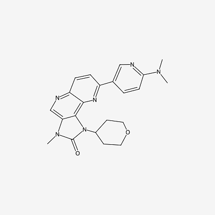 CN(C)c1ccc(-c2ccc3ncc4c(c3n2)n(C2CCOCC2)c(=O)n4C)cn1